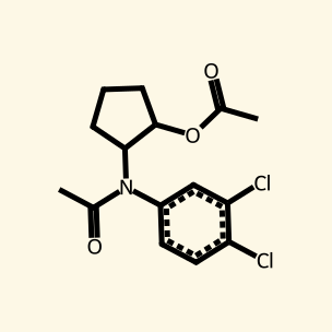 CC(=O)OC1CCCC1N(C(C)=O)c1ccc(Cl)c(Cl)c1